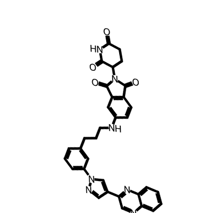 O=C1CCC(N2C(=O)c3ccc(NCCCc4cccc(-n5cc(-c6cnc7ccccc7n6)cn5)c4)cc3C2=O)C(=O)N1